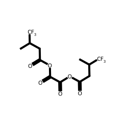 CC(CC(=O)OC(=O)C(=O)OC(=O)CC(C)C(F)(F)F)C(F)(F)F